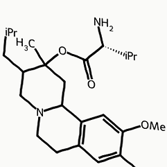 COc1cc2c(cc1OC)C1CC(C)(OC(=O)[C@H](N)C(C)C)C(CC(C)C)CN1CC2